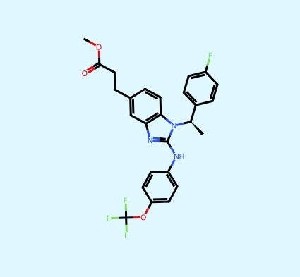 COC(=O)CCc1ccc2c(c1)nc(Nc1ccc(OC(F)(F)F)cc1)n2[C@H](C)c1ccc(F)cc1